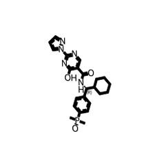 CP(C)(=O)c1ccc([C@H](NC(=O)c2cnc(-n3cccn3)nc2O)C2CCCCC2)cc1